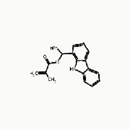 C=C(C)C(=O)OC(CCC)c1cccc2c1[nH]c1ccccc12